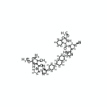 COC(=O)NC(C(=O)N1C[C@@H](C#N)C[C@H]1c1ncc(-c2ccc3cc(-c4ccc(-c5cnc([C@@H]6CCCN6C(=O)[C@@H](NC(=O)OC)C(C)C)[nH]5)cc4)ccc3c2)[nH]1)c1ccccc1